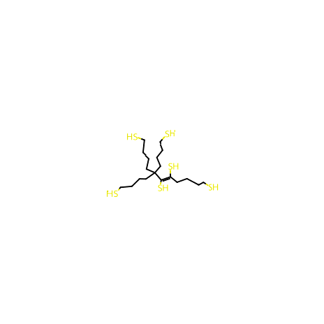 SCCCCC(S)=C(S)C(CCCCS)(CCCCS)CCCCS